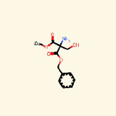 CC(C)(C)OC(=O)C(N)(CO)C(=O)OCc1ccccc1